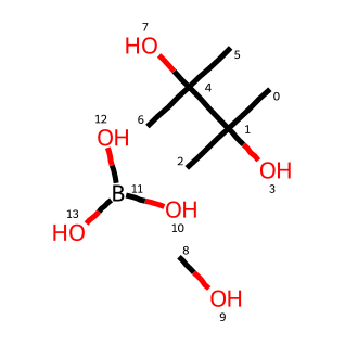 CC(C)(O)C(C)(C)O.CO.OB(O)O